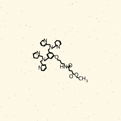 CCOC(=O)CCC(=O)NCCCCOc1cc(CN(CC2=NC=CCC2)Cc2ccccn2)cc(CN(CC2=NC=CCC2)Cc2ccccn2)c1